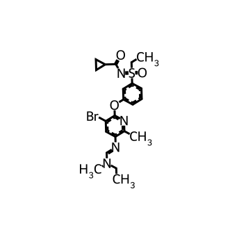 CCN(C)C=Nc1cc(Br)c(Oc2cccc(S(=O)(CC)=NC(=O)C3CC3)c2)nc1C